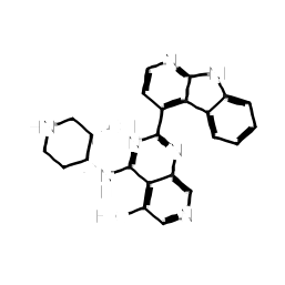 O[C@H]1CNCC[C@H]1Nc1nc(-c2ccnc3[nH]c4ccccc4c23)nc2cncc(C(F)(F)F)c12